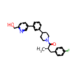 C[C@H](Cc1ccc(F)cc1)C(=O)N1CCC(c2cccc(-c3ccc(CO)nc3)c2)CC1